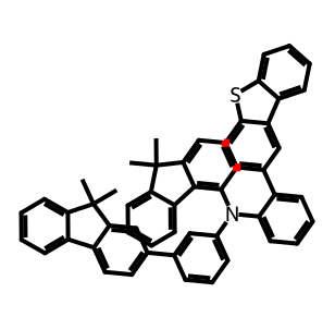 CC1(C)c2ccccc2-c2ccc(-c3cccc(N(c4ccccc4-c4ccc5sc6ccccc6c5c4)c4cccc5c4-c4ccccc4C5(C)C)c3)cc21